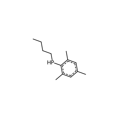 CCCCPc1c(C)cc(C)cc1C